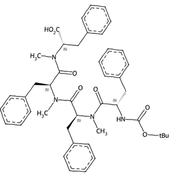 CN(C(=O)[C@H](Cc1ccccc1)NC(=O)OC(C)(C)C)[C@@H](Cc1ccccc1)C(=O)N(C)[C@@H](Cc1ccccc1)C(=O)N(C)[C@@H](Cc1ccccc1)C(=O)O